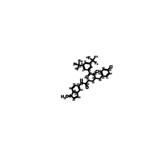 CN(C(=O)c1cc(C(F)(F)F)cc(C(F)(F)F)c1)C(CCC(=O)Nc1ccc2c(ccn2C)c1)Cc1ccc(Cl)cc1